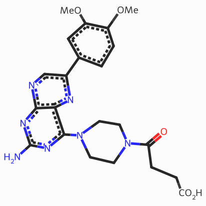 COc1ccc(-c2cnc3nc(N)nc(N4CCN(C(=O)CCC(=O)O)CC4)c3n2)cc1OC